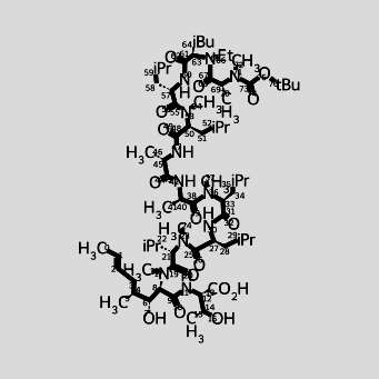 CC=CC[C@@H](C)[C@@H](O)[C@@H](C(=O)N[C@H](C(=O)O)[C@@H](C)O)N(C)C(=O)[C@H](C(C)C)N(C)C(=O)[C@H](CC(C)C)NC(=O)[C@H](CC(C)C)N(C)C(=O)[C@@H](C)NC(=O)[C@H](C)NC(=O)[C@H](CC(C)C)N(C)C(=O)[C@H](CC(C)C)NC(=O)[C@H](C(C)CC)N(CC)C(=O)[C@@H](C)N(C)C(=O)OC(C)(C)C